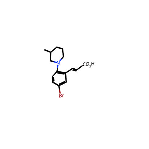 CC1CCCN(c2ccc(Br)cc2/C=C/C(=O)O)C1